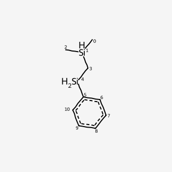 C[SiH](C)C[SiH2]c1ccccc1